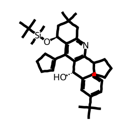 CC1(C)Cc2nc(C3CCCC3)c([C@@H](O)c3cccc(C(C)(C)C)c3)c(C3=CCCC3)c2[C@@H](O[Si](C)(C)C(C)(C)C)C1